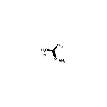 CC(C)=O.[AlH3].[Ni]